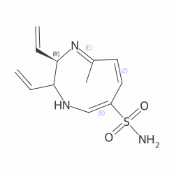 C=CC1N\C=C(S(N)(=O)=O)/C=C\C(C)=N\[C@@H]1C=C